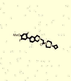 COc1cc(F)c(-c2ccc3c(c2)CCN(CC(=O)N2CCN(C4CCC4)CC2)C3)cc1F